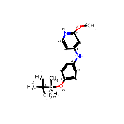 COc1cc(Nc2ccc(O[Si](C)(C)C(C)(C)C)cc2)ccn1